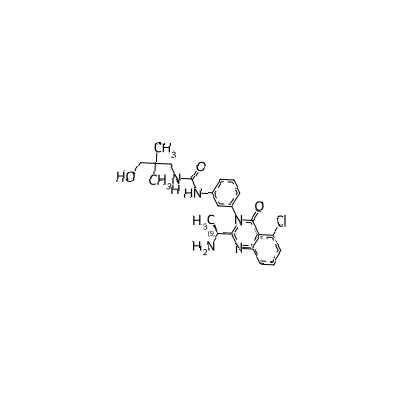 C[C@H](N)c1nc2cccc(Cl)c2c(=O)n1-c1cccc(NC(=O)NCC(C)(C)CO)c1